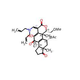 C=CCN(/C=C1/C(=O)O[C@H](COC)[C@@]2(C)C1=C(O)C(=O)C1=C2[C@H](OC(C)=O)C[C@]2(C)C(=O)CC[C@@]12C)CC=C